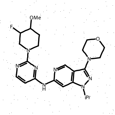 COC1CCN(c2nccc(Nc3cc4c(cn3)c(N3CCOCC3)nn4C(C)C)n2)CC1F